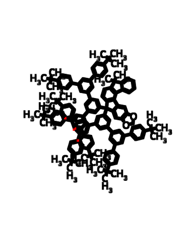 CC(C)(C)c1ccc(-c2cc(-c3ccc(C(C)(C)C)cc3)cc(-c3cc(-c4cc(-c5ccc(C(C)(C)C)cc5)cc(-c5ccc(C(C)(C)C)cc5)c4)cc(C4(c5cc(-c6cc(-c7ccc(C(C)(C)C)cc7)cc(-c7ccc(C(C)(C)C)cc7)c6)cc(-c6cc(-c7ccc(C(C)(C)C)cc7)cc(-c7ccc(C(C)(C)C)cc7)c6)c5)c5cc6c(cc5-c5c4ccc4c5-c5ccccc5C4(C)C)OCO6)c3)c2)cc1